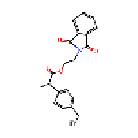 CC(C)Cc1ccc(C(C)C(=O)OCCN2C(=O)c3ccccc3C2=O)cc1